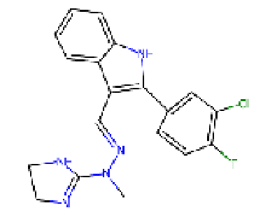 CN(N=Cc1c(-c2ccc(F)c(Cl)c2)[nH]c2ccccc12)C1=NCCN1